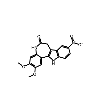 COc1cc2c(cc1OC)-c1[nH]c3ccc([N+](=O)[O-])cc3c1CC(=O)N2